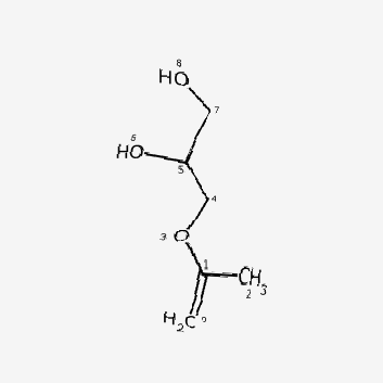 C=C(C)OCC(O)CO